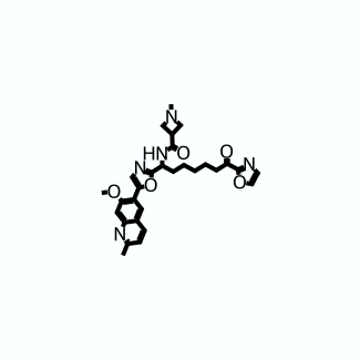 COc1cc2nc(C)ccc2cc1-c1cnc(C(CCCCCC(=O)c2ncco2)NC(=O)C2CN(C)C2)o1